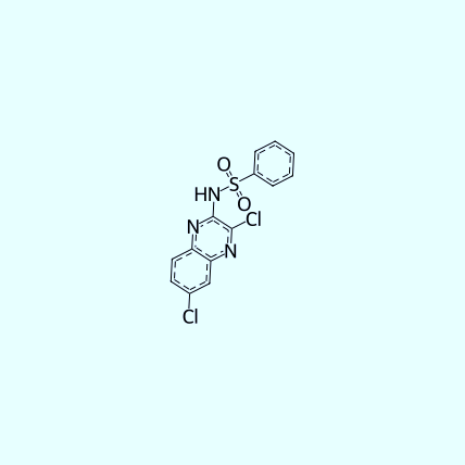 O=S(=O)(Nc1nc2ccc(Cl)cc2nc1Cl)c1ccccc1